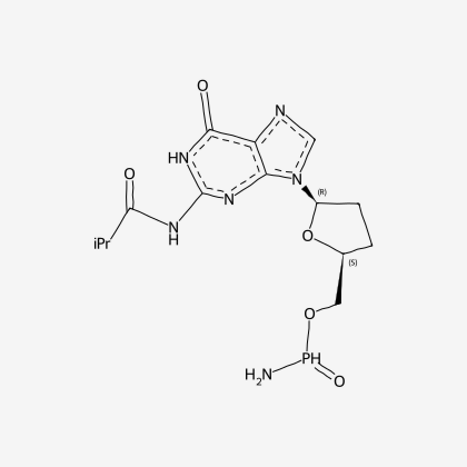 CC(C)C(=O)Nc1nc2c(ncn2[C@H]2CC[C@@H](CO[PH](N)=O)O2)c(=O)[nH]1